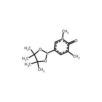 Cc1cc(N2OC(C)(C)C(C)(C)O2)cn(C)c1=O